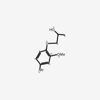 CCCc1ccc(OCC(C)O)c(OC)c1